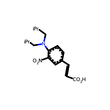 CC(C)CN(CC(C)C)c1ccc(/C=C/C(=O)O)cc1[N+](=O)[O-]